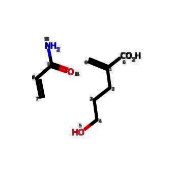 C=C(CCCO)C(=O)O.C=CC(N)=O